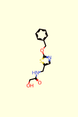 O=C(CO)NCc1cnc(OCc2ccccc2)s1